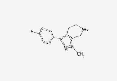 Cn1nc(-c2ccc(F)cc2)c2c1CNCC2